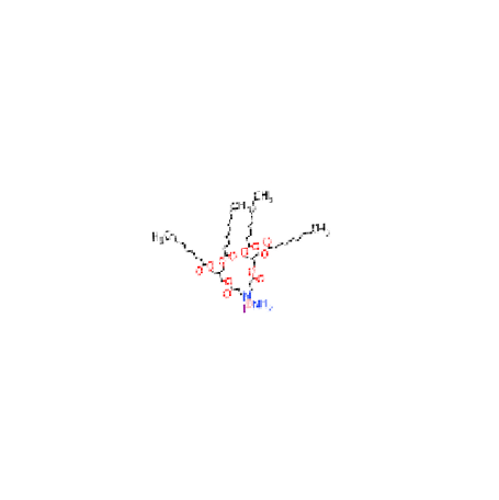 CCCCCCCCC(=O)OCC(COC(=O)CCCCCCCC)COC(=O)CCN(CCC(=O)OCC(COC(=O)CCCCCCCC)COC(=O)CCCCCCCC)B(N)I